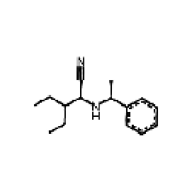 CCC(CC)[C@@H](C#N)N[C@@H](C)c1ccccc1